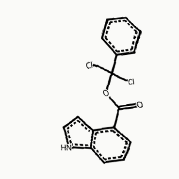 O=C(OC(Cl)(Cl)c1ccccc1)c1cccc2[nH]ccc12